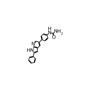 NC(=O)Nc1ccc(-c2cnc3[nH]c(-c4ccccc4)cc3c2)cc1